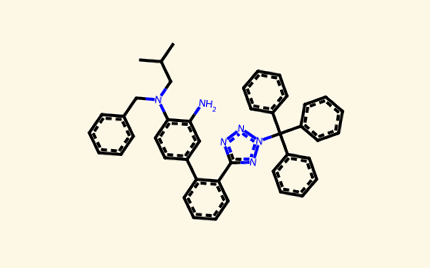 CC(C)CN(Cc1ccccc1)c1ccc(-c2ccccc2-c2nnn(C(c3ccccc3)(c3ccccc3)c3ccccc3)n2)cc1N